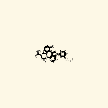 CC(C)C(=O)N1CCN(c2nccc3c2c(-c2ccccc2F)cn3-c2cc(C(=O)O)ccn2)[C@@H](C)C1